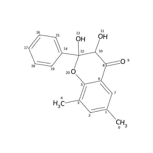 Cc1cc(C)c2c(c1)C(=O)C(O)C(O)(c1ccccc1)O2